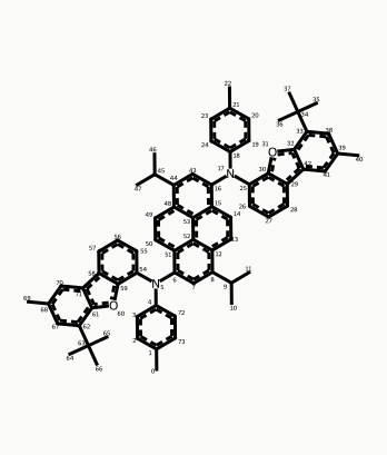 Cc1ccc(N(c2cc(C(C)C)c3ccc4c(N(c5ccc(C)cc5)c5cccc6c5oc5c(C(C)(C)C)cc(C)cc56)cc(C(C)C)c5ccc2c3c54)c2cccc3c2oc2c(C(C)(C)C)cc(C)cc23)cc1